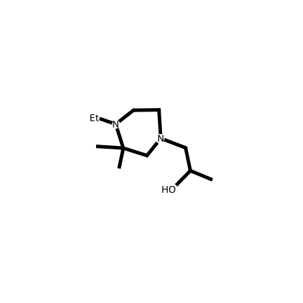 CCN1CCN(CC(C)O)CC1(C)C